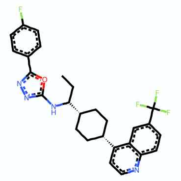 CCC(Nc1nnc(-c2ccc(F)cc2)o1)[C@H]1CC[C@@H](c2ccnc3ccc(C(F)(F)F)cc32)CC1